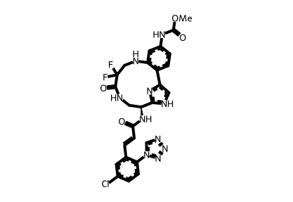 COC(=O)Nc1ccc2c(c1)NCC(F)(F)C(=O)NC[C@H](NC(=O)/C=C/c1cc(Cl)ccc1-n1cnnn1)c1nc-2c[nH]1